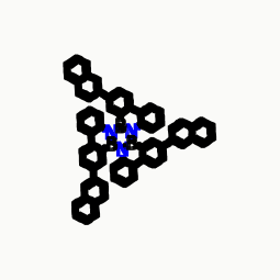 c1ccc2c(c1)-c1ccc(-c3ccc4ccccc4c3)cc1B1N2B2c3cc(-c4ccc5ccccc5c4)ccc3-c3ccccc3N2B2c3cc(-c4ccc5ccccc5c4)ccc3-c3ccccc3N12